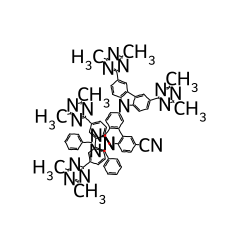 Cc1nc(C)nc(-c2ccc3c(c2)c2cc(-c4nc(C)nc(C)n4)ccc2n3-c2ccc(-c3nc(-c4ccccc4)nc(-c4ccccc4)n3)c(-c3cc(C#N)ccc3-n3c4ccc(-c5nc(C)nc(C)n5)cc4c4cc(-c5nc(C)nc(C)n5)ccc43)c2)n1